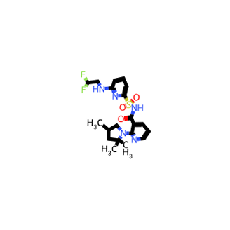 CC1CN(c2ncccc2C(=O)NS(=O)(=O)c2cccc(NCC(F)F)n2)C(C)(C)C1